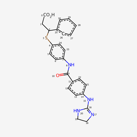 O=C(O)CC(Sc1ccc(NC(=O)c2ccc(NC3=NCCN3)cc2)cc1)c1ccccc1